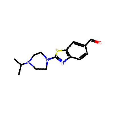 CC(C)N1CCN(c2nc3ccc(C=O)cc3s2)CC1